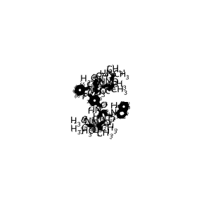 CNC(C)C(=O)NC(C(=O)N1C[Si](C)(C)CC1C(=O)N(Cc1ccc(C(=O)N[C@H]2C[C@@H](C(=O)N[C@@H]3CCCc4ccccc43)N(C(=O)C(NC(=O)C(C)NC)C(C)(C)C)C2)cc1)[C@H](C)c1ccccc1F)C(C)(C)C